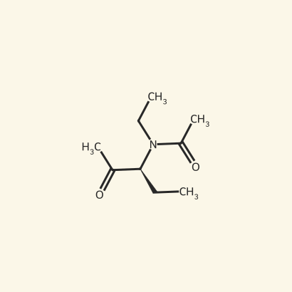 CC[C@@H](C(C)=O)N(CC)C(C)=O